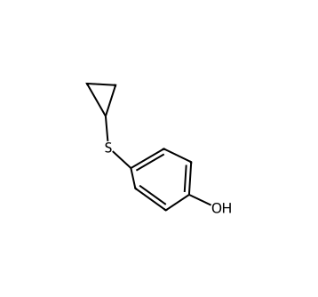 Oc1ccc(SC2CC2)cc1